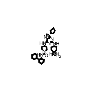 Cl.Cl.NC1CCC(Nc2nc(NC3CCN(C(=O)Nc4ccccc4-c4ccccc4)CC3)c3ncn(C4CCCC4)c3n2)CC1